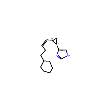 C(=C/[C@@H]1C[C@H]1c1c[nH]cn1)/CCC1CCCCC1